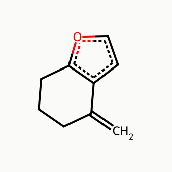 C=C1CCCc2occc21